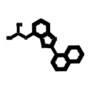 OB(O)Oc1cccc2nc(-c3cccc4ccccc34)oc12